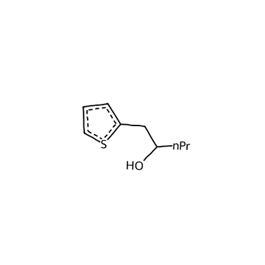 CCCC(O)Cc1cccs1